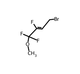 COC(F)(F)C(F)=CCBr